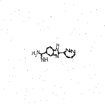 N=C(N)c1ccc2[nH]c(-c3cccnn3)nc2c1